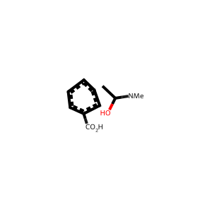 CNC(C)O.O=C(O)c1ccccc1